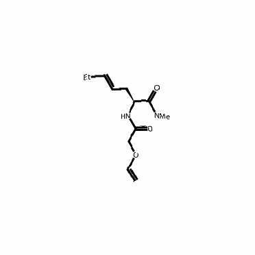 C=COCC(=O)N[C@@H](C/C=C/CC)C(=O)NC